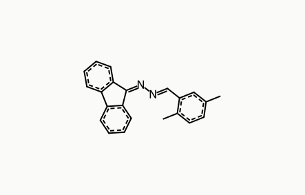 Cc1ccc(C)c(/C=N/N=C2c3ccccc3-c3ccccc32)c1